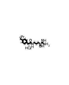 CC(C)Cc1ccc([C@@H](C)C(=O)NCCCN(O)C(=N)N)cc1.Cl